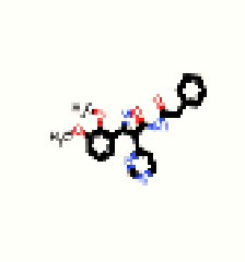 COc1cccc(-c2noc(NC(=O)Cc3ccccc3)c2-c2ccncn2)c1OC